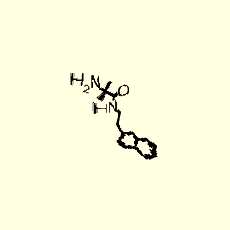 CC(C)(N)C(=O)NCCc1ccc2ccccc2c1